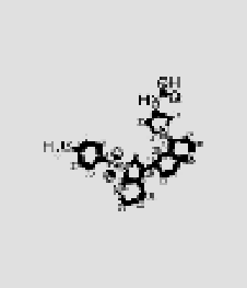 Cc1ccc(S(=O)(=O)n2cc(-c3ccc4nccc(N5CC[C@H](NC(=O)O)C5)c4c3)c3cccnc32)cc1